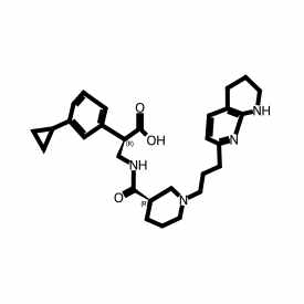 O=C(NC[C@H](C(=O)O)c1cccc(C2CC2)c1)[C@@H]1CCCN(CCCc2ccc3c(n2)NCCC3)C1